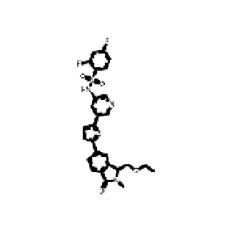 CCSCC1c2cc(-c3ccc(-c4cncc(NS(=O)(=O)c5ccc(F)cc5F)c4)s3)ccc2C(=O)N1C